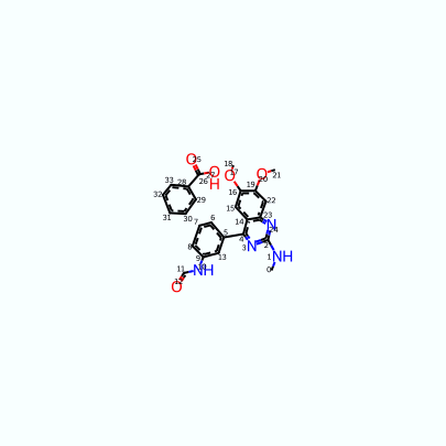 CNc1nc(-c2cccc(NC=O)c2)c2cc(OC)c(OC)cc2n1.O=C(O)c1ccccc1